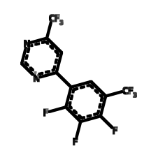 Fc1c(-c2cc(C(F)(F)F)ncn2)cc(C(F)(F)F)c(F)c1F